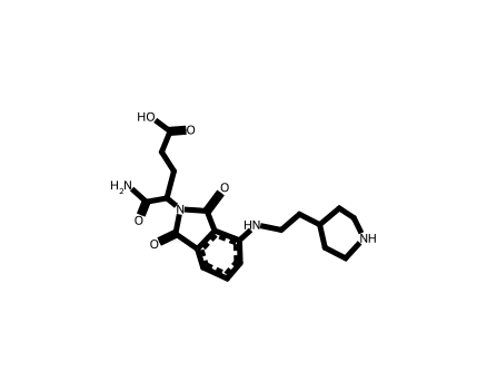 NC(=O)C(CCC(=O)O)N1C(=O)c2cccc(NCCC3CCNCC3)c2C1=O